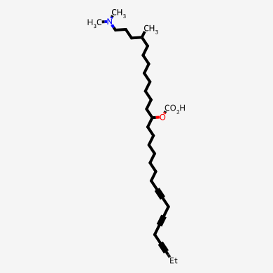 CCC#CCC#CCC#CCCCCCCCC(CCCCCCCCC(C)CCCN(C)C)OC(=O)O